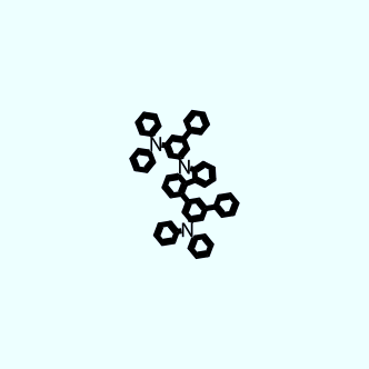 c1ccc(-c2cc(-c3cccc4c3c3ccccc3n4-c3cc(-c4ccccc4)cc(N(c4ccccc4)c4ccccc4)c3)cc(N(c3ccccc3)c3ccccc3)c2)cc1